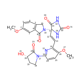 COc1ccc2c(c1)C(=O)N([C@@]1(C=Cc3nc(N4CC[C@H](O)C4=O)ccc3OC)NC(=O)NC1=O)C2